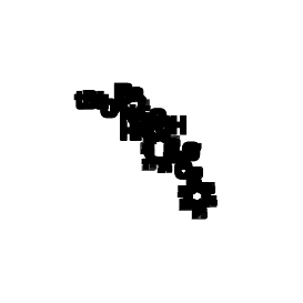 CC(C)C[C@H](NC(=O)OC(C)(C)C)C(=O)NC1CCCN(C(=O)OCc2ccccc2)CC1O